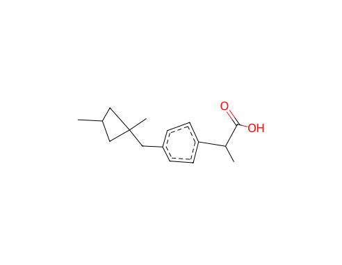 CC1CC(C)(Cc2ccc(C(C)C(=O)O)cc2)C1